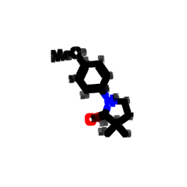 COc1ccc(N2CCC(C)(C)C2=O)cc1